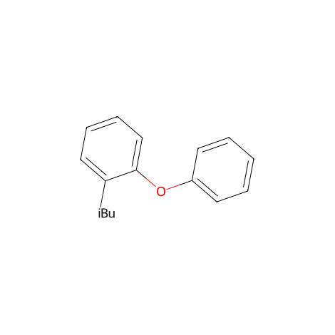 CCC(C)c1ccccc1Oc1ccccc1